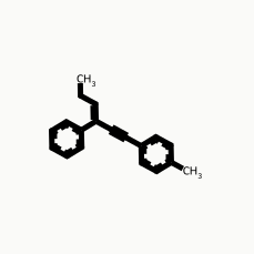 CCC=C(C#Cc1ccc(C)cc1)c1ccccc1